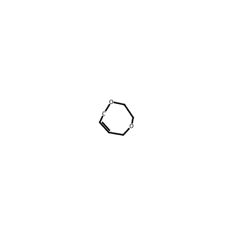 C1=CCOCCOC1